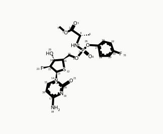 COC(=O)[C@H](C)NP(=O)(OC[C@H]1S[C@@H](n2ccc(N)nc2=O)[C@@H](F)[C@@H]1O)Oc1ccc(F)cc1